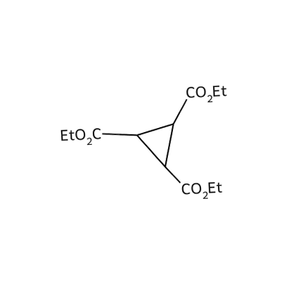 CCOC(=O)C1C(C(=O)OCC)C1C(=O)OCC